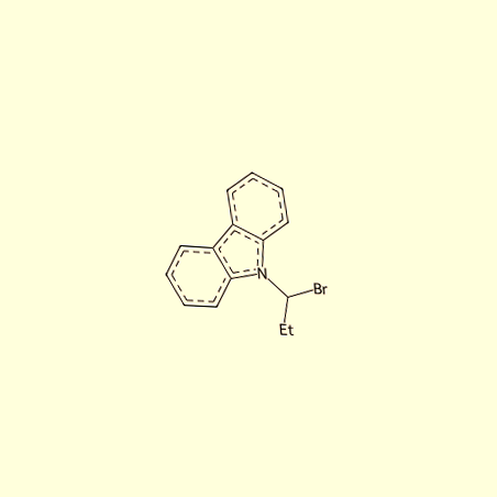 CCC(Br)n1c2ccccc2c2ccccc21